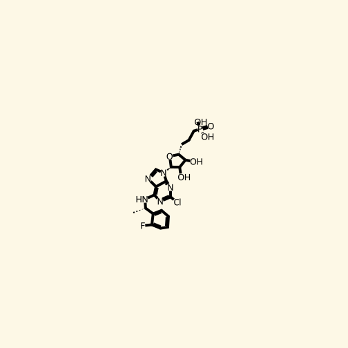 C[C@H](Nc1nc(Cl)nc2c1ncn2[C@@H]1O[C@H](CCCP(=O)(O)O)C(O)C1O)c1ccccc1F